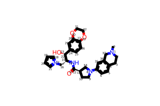 CN1CCc2ccc(N3CC[C@@H](C(=O)N[C@H](Cn4cccc4)[C@H](O)c4ccc5c(c4)OCCO5)C3)cc2C1